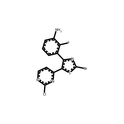 Nc1cccc(-c2nc(Br)sc2-c2ccnc(Cl)n2)c1F